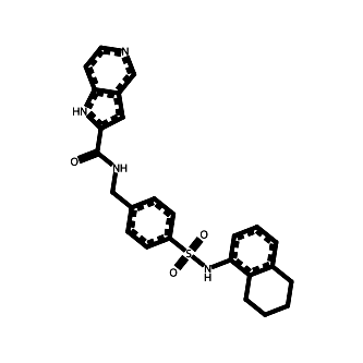 O=C(NCc1ccc(S(=O)(=O)Nc2cccc3c2CCCC3)cc1)c1cc2cnccc2[nH]1